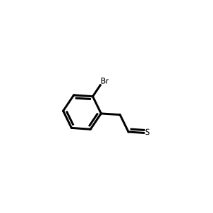 S=CCc1ccccc1Br